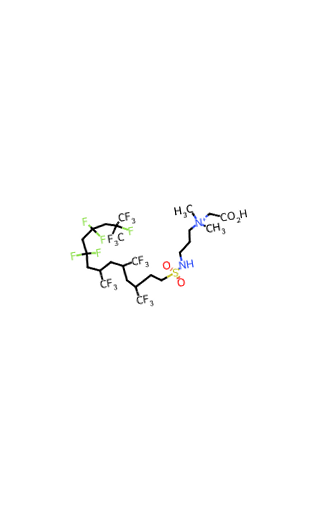 C[N+](C)(CCCNS(=O)(=O)CCC(CC(CC(CC(F)(F)CC(F)(F)CC(F)(C(F)(F)F)C(F)(F)F)C(F)(F)F)C(F)(F)F)C(F)(F)F)CC(=O)O